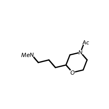 CNCCCC1CN(C(C)=O)CCO1